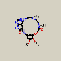 COc1cc2cc(c1OC)OCC(=O)N(C)CCN(C)CCNc1ncnc3c1/C(=C/N2)C(=O)N3